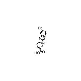 O=C(O)N1CCC[C@](F)(c2cn3ccc(Br)cc3n2)C1